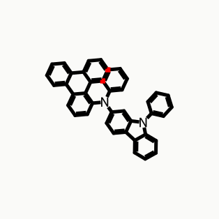 c1ccc(N(c2ccc3c4ccccc4n(-c4ccccc4)c3c2)c2cccc3c4ccccc4c4ccccc4c23)cc1